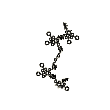 C[C@@H]1[C@@H](OCc2cn(C[C@H]3O[C@H](OCc4cn(CCOCCOCCn5cc(CO[C@H]6O[C@H](Cn7cc(CO[C@H]8O[C@H](CN=[N+]=[N-])[C@@H](C)[C@H](OC(=O)c9ccccc9)[C@@H]8OC(=O)c8ccccc8)nn7)[C@@H](OC(=O)c7ccccc7)[C@H](OC(=O)c7ccccc7)[C@@H]6C)nn5)nn4)[C@@H](OC(=O)c4ccccc4)[C@@H](OC(=O)c4ccccc4)[C@@H]3C)nn2)O[C@H](CN=[N+]=[N-])[C@@H](OC(=O)c2ccccc2)[C@@H]1C